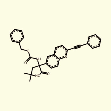 CC(C)(C)CC(NC(=O)OCc1ccccc1)(C(=O)O)c1ccc2nc(C#Cc3ccccc3)ccc2c1